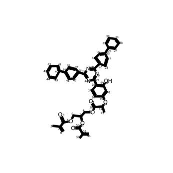 C=C(C)C(=O)OCC(COC(=O)C(C)Oc1ccc(-c2nc(-c3ccc(-c4ccccc4)cc3)nc(-c3ccc(-c4ccccc4)cc3)n2)c(O)c1)OC(=O)C(=C)C